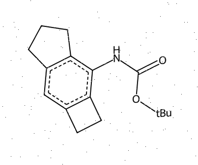 CC(C)(C)OC(=O)Nc1c2c(cc3c1CC3)CCC2